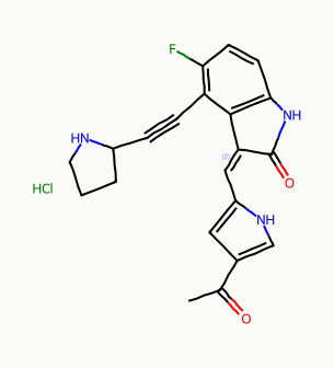 CC(=O)c1c[nH]c(/C=C2\C(=O)Nc3ccc(F)c(C#CC4CCCN4)c32)c1.Cl